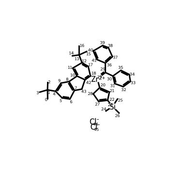 CC(C)(C)c1ccc2c(c1)-c1cc(C(C)(C)C)c[c]([Zr+2]([C]3=CC([Si](C)(C)C)=CC3)=[C](c3ccccc3)c3ccccc3)c1C2.[Cl-].[Cl-]